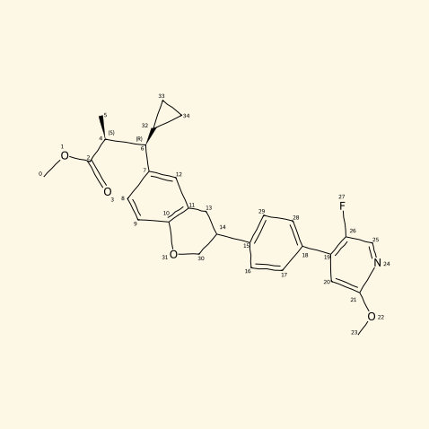 COC(=O)[C@@H](C)[C@H](c1ccc2c(c1)CC(c1ccc(-c3cc(OC)ncc3F)cc1)CO2)C1CC1